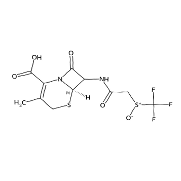 CC1=C(C(=O)O)N2C(=O)C(NC(=O)C[S+]([O-])C(F)(F)F)[C@H]2SC1